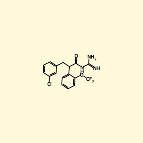 N=C(N)NC(=O)C(Cc1cccc(Cl)c1)c1ccccc1OC(F)(F)F